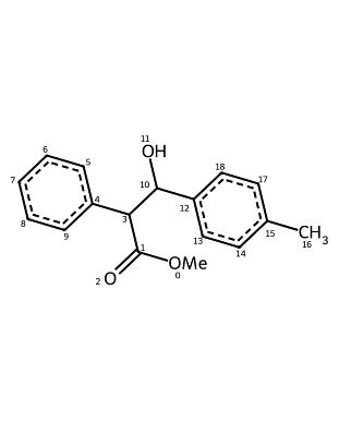 COC(=O)C(c1ccccc1)C(O)c1ccc(C)cc1